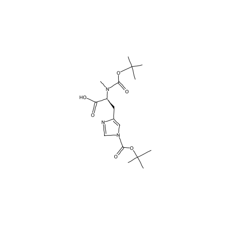 CN(C(=O)OC(C)(C)C)[C@@H](Cc1cn(C(=O)OC(C)(C)C)cn1)C(=O)O